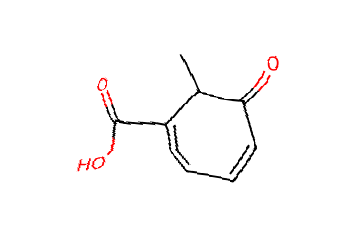 CC1C(=O)C=CC=C1C(=O)O